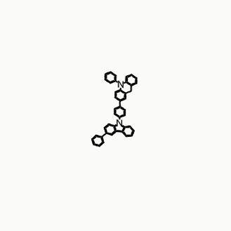 c1ccc(-c2ccc3c(c2)c2ccccc2n3-c2ccc(-c3ccc4c(c3)Cc3ccccc3N4c3ccccc3)cc2)cc1